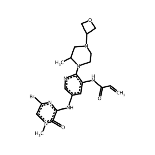 C=CC(=O)Nc1cc(Nc2nc(Br)cn(C)c2=O)cnc1N1CCN(C2COC2)CC1C